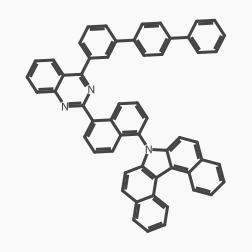 c1ccc(-c2ccc(-c3cccc(-c4nc(-c5cccc6c(-n7c8ccc9ccccc9c8c8c9ccccc9ccc87)cccc56)nc5ccccc45)c3)cc2)cc1